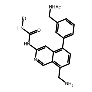 CCNC(=O)Nc1cc2c(-c3cccc(CNC(C)=O)c3)ccc(CN)c2cn1